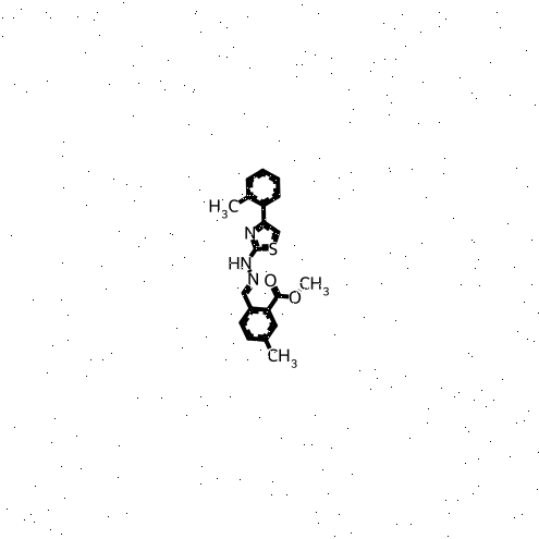 COC(=O)c1cc(C)ccc1/C=N/Nc1nc(-c2ccccc2C)cs1